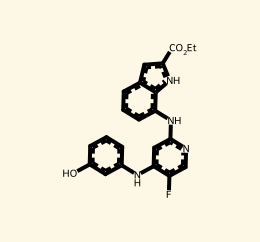 CCOC(=O)c1cc2cccc(Nc3cc(Nc4cccc(O)c4)c(F)cn3)c2[nH]1